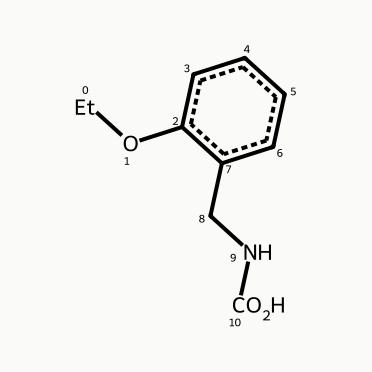 CCOc1ccccc1CNC(=O)O